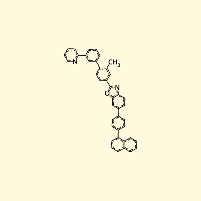 Cc1cc(-c2nc3ccc(-c4ccc(-c5cccc6ccccc56)cc4)cc3o2)ccc1-c1cccc(-c2ccccn2)c1